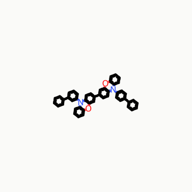 c1ccc(-c2ccc(N3c4ccccc4Oc4cc(-c5ccc6c(c5)Oc5ccccc5N6c5cccc(-c6ccccc6)c5)ccc43)cc2)cc1